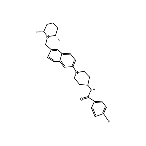 C[C@@H]1CCC[C@H](C)N1Cc1ccc2cc(N3CCC(NC(=O)c4ccc(F)cc4)CC3)ccc2c1